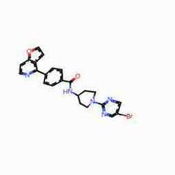 O=C(NC1CCN(c2ncc(Br)cn2)CC1)c1ccc(-c2nccc3occc23)cc1